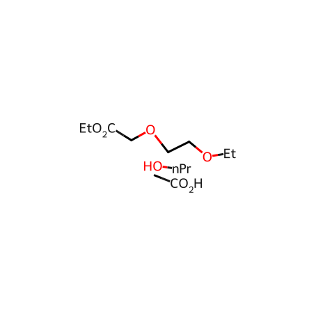 CC(=O)O.CCCO.CCOCCOCC(=O)OCC